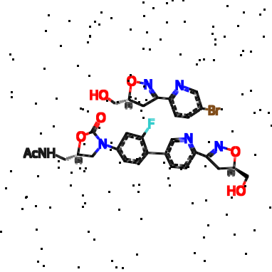 CC(=O)NC[C@H]1CN(c2ccc(-c3ccc(C4=NO[C@@H](CO)C4)nc3)c(F)c2)C(=O)O1.OC[C@H]1CC(c2ccc(Br)cn2)=NO1